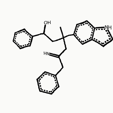 CC(CC(=N)Cc1ccccc1)(CC(O)c1ccccc1)c1ccc2[nH]ccc2c1